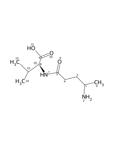 CC(N)CCC(=O)N[C@H](C(=O)O)C(C)C